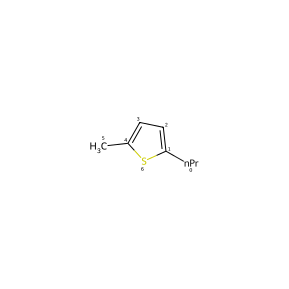 [CH2]CCc1ccc(C)s1